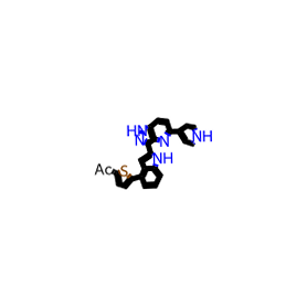 CC(=O)c1ccc(-c2cccc3[nH]c(-c4n[nH]c5ccc(C6=CCNCC6)nc45)cc23)s1